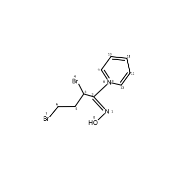 ON=C(C(Br)CCBr)[n+]1ccccc1